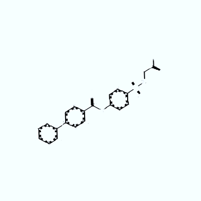 O=C(O)CNS(=O)(=O)c1ccc(NC(=O)c2ccc(-c3ccccc3)cc2)cc1